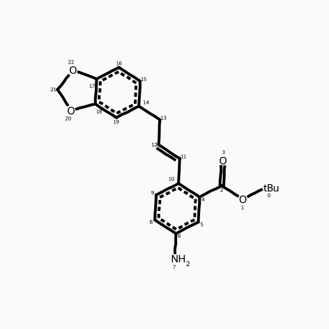 CC(C)(C)OC(=O)c1cc(N)ccc1/C=C/Cc1ccc2c(c1)OCO2